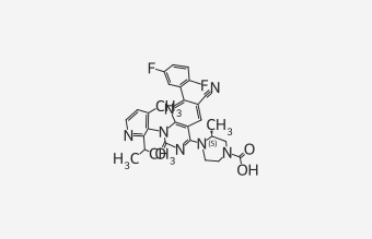 Cc1ccnc(C(C)C)c1-n1c(=O)nc(N2CCN(C(=O)O)C[C@@H]2C)c2cc(C#N)c(-c3cc(F)ccc3F)nc21